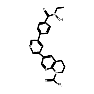 CCN(O)C(=O)c1ccc(-c2cncc(-c3cnc4c(c3)CCCN4C(N)=O)c2)cc1